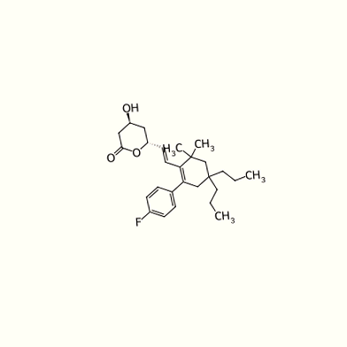 CCCC1(CCC)CC(c2ccc(F)cc2)=C(C=C[C@H]2C[C@H](O)CC(=O)O2)C(C)(C)C1